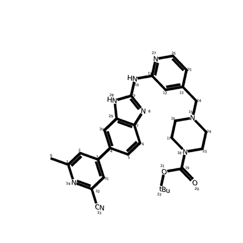 Cc1cc(-c2ccc3nc(Nc4cc(CN5CCN(C(=O)OC(C)(C)C)CC5)ccn4)[nH]c3c2)cc(C#N)n1